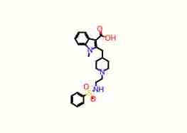 Cn1c(CC2CCN(CCNS(=O)(=O)c3ccccc3)CC2)c(C(=O)O)c2ccccc21